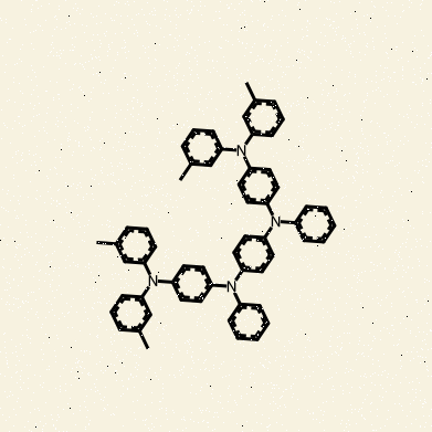 Cc1cccc(N(c2ccc(N(c3ccccc3)c3ccc(N(c4ccccc4)c4ccc(N(c5cccc(C)c5)c5cccc(C)c5)cc4)cc3)cc2)c2cccc(C)c2)c1